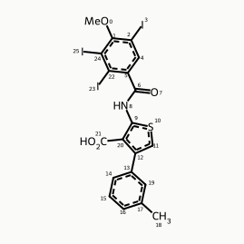 COc1c(I)cc(C(=O)Nc2scc(-c3cccc(C)c3)c2C(=O)O)c(I)c1I